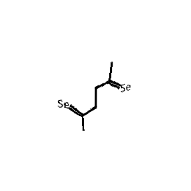 CC(=[Se])CCC(C)=[Se]